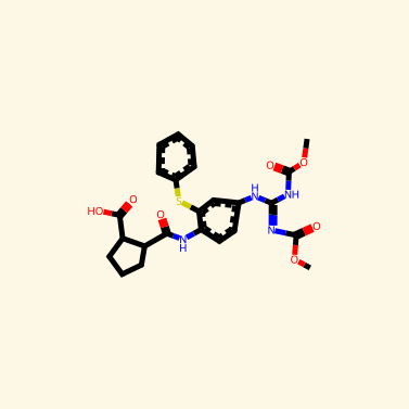 COC(=O)N=C(NC(=O)OC)Nc1ccc(NC(=O)C2CCCC2C(=O)O)c(Sc2ccccc2)c1